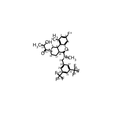 Cc1cc(F)ccc1C1CN(C(=O)C(C)O)CCC1C(=O)N(C)Cc1cc(C(F)(F)F)cc(C(F)(F)F)c1